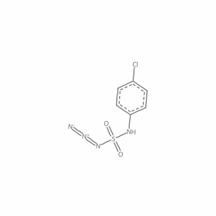 [N-]=[N+]=NS(=O)(=O)Nc1ccc(Cl)cc1